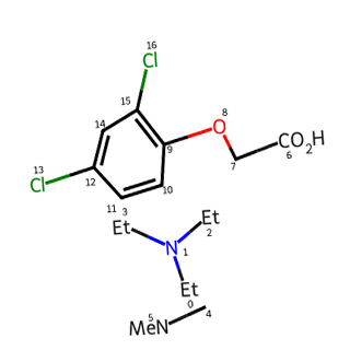 CCN(CC)CC.CNC.O=C(O)COc1ccc(Cl)cc1Cl